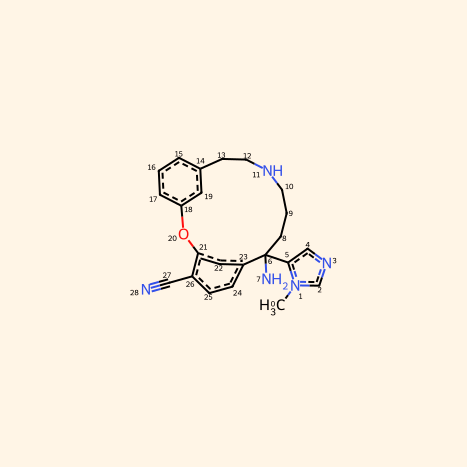 Cn1cncc1C1(N)CCCNCCc2cccc(c2)Oc2cc1ccc2C#N